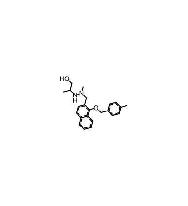 Cc1ccc(COc2c(CN(C)NC(C)CO)ccc3ccccc23)cc1